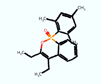 CCC1=C(CC)c2ccccc2P(=O)(c2c(C)cc(C)cc2C)O1